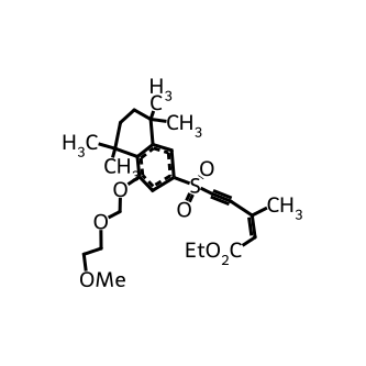 CCOC(=O)C=C(C)C#CS(=O)(=O)c1cc(OCOCCOC)c2c(c1)C(C)(C)CCC2(C)C